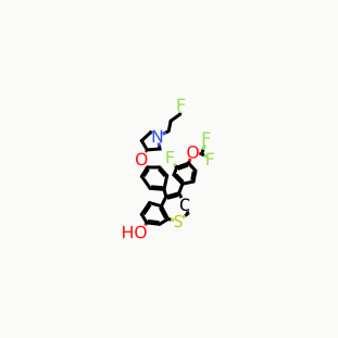 Oc1ccc2c(c1)SCCC(c1ccc(OC(F)F)c(F)c1)=C2c1ccc(O[C@H]2CCN(CCCF)C2)cc1